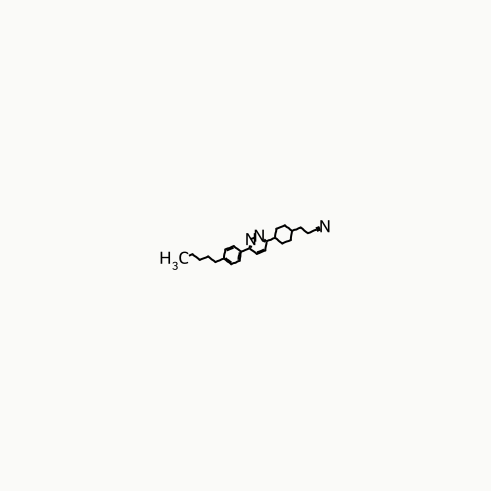 CCCCCc1ccc(-c2ccc(C3CCC(CCC#N)CC3)nn2)cc1